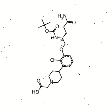 CC(C)(C)OC(=O)N[C@@H](CCC(N)=O)COc1cccc(C2CCN(CC(=O)O)CC2)c1Cl